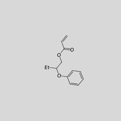 C=CC(=O)OCC(CC)Oc1ccccc1